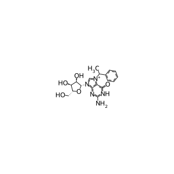 CC(c1ccccc1)[n+]1cn([C@@H]2O[C@H](CO)[C@@H](O)[C@H]2O)c2nc(N)[nH]c(=O)c21